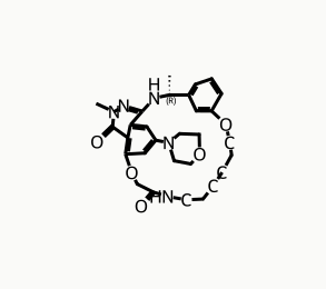 C[C@H]1Nc2nn(C)c(=O)c3c(cc(N4CCOCC4)cc23)OCC(=O)NCCCCCCOc2cccc1c2